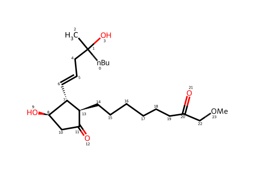 CCCCC(C)(O)CC=C[C@H]1[C@H](O)CC(=O)[C@@H]1CCCCCCC(=O)COC